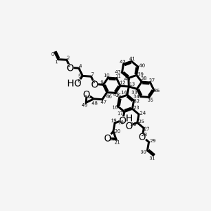 C=CCOCC(O)COc1ccc(C2(c3ccc(OCC4CO4)c(CC(O)COCC=C)c3)c3ccccc3-c3ccccc32)cc1CC1CO1